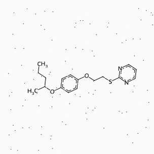 CCCC(C)Oc1ccc(OCCSc2ncccn2)cc1